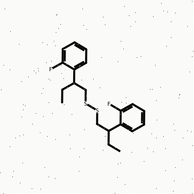 CCC(CSSCC(CC)c1ccccc1F)c1ccccc1F